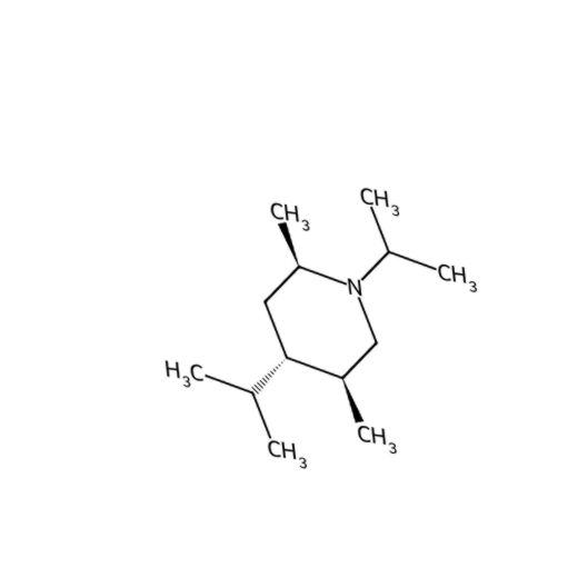 CC(C)[C@@H]1C[C@@H](C)N(C(C)C)C[C@H]1C